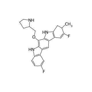 CC1Cc2[nH]c3c(OCC4CCCN4)c4[nH]c5ccc(F)cc5c4cc3c2C=C1F